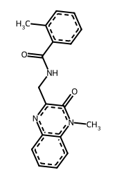 Cc1ccccc1C(=O)NCc1nc2ccccc2n(C)c1=O